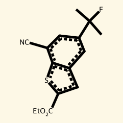 CCOC(=O)c1cc2cc(C(C)(C)F)cc(C#N)c2s1